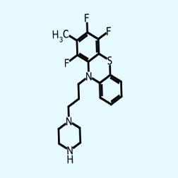 Cc1c(F)c(F)c2c(c1F)N(CCCN1CCNCC1)c1ccccc1S2